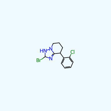 Clc1ccccc1C1CCCN2NC(Br)N=C12